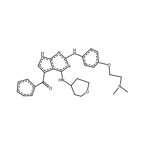 CN(C)CCOc1ccc(Nc2nc(NC3CCOCC3)c3c(C(=O)c4ccccc4)c[nH]c3n2)cc1